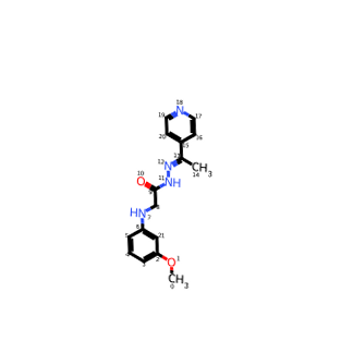 COc1cccc(NCC(=O)N/N=C(\C)c2ccncc2)c1